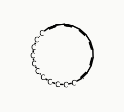 [C]1=C/C=C\C=C/C=C\C=C/C=C\CCCCCCCCCCC\1